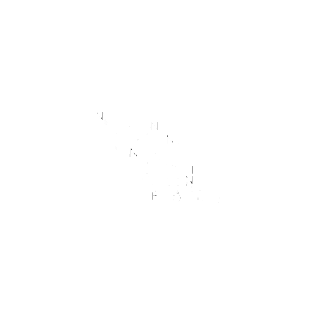 Cn1cnc(-c2cc(C#N)ccn2)c1-c1ccc(F)c(C(=O)Nc2ccccc2)c1